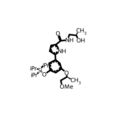 COC[C@H](C)Oc1cc(O[Si](C(C)C)(C(C)C)C(C)C)cc(-c2ccc(C(=O)NC[C@@H](C)O)[nH]2)c1